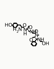 CN(C(=O)CNC[C@H](C=O)NC(=O)[C@@H](N)Cc1ccc(O)cc1)[C@H](C=O)C(NCCO)c1ccccc1